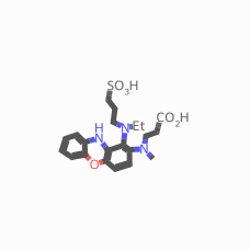 CCN(CCCS(=O)(=O)O)c1c(N(C)CCC(=O)O)ccc2c1Nc1ccccc1O2